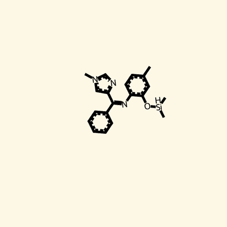 Cc1ccc(N=C(c2ccccc2)c2cn(C)cn2)c(O[SiH](C)C)c1